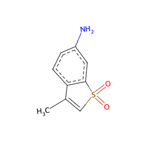 CC1=CS(=O)(=O)c2cc(N)ccc21